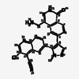 Cn1ncc(-c2ccc3c(=O)[nH]nc(CN)c3c2)c1-c1ccc2ncc(Cl)c(C#N)c2c1